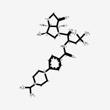 CC(C)N1CCN(c2ccc(C(=O)NC(CC(C)(C)C)C(=O)N3C[C@@H](O)[C@H]4OCC(=O)[C@H]43)cc2)CC1